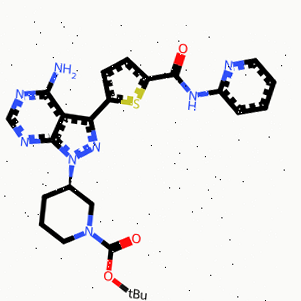 CC(C)(C)OC(=O)N1CCC[C@@H](n2nc(-c3ccc(C(=O)Nc4ccccn4)s3)c3c(N)ncnc32)C1